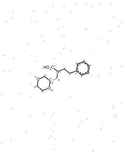 O=C(O)N(CCc1ccccc1)C[C@H]1COCCO1